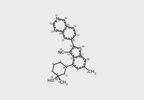 Cc1cc(N2CCC[C@@](C)(O)C2)c2c(C#N)c(-c3ccc4cncnc4c3)sc2c1